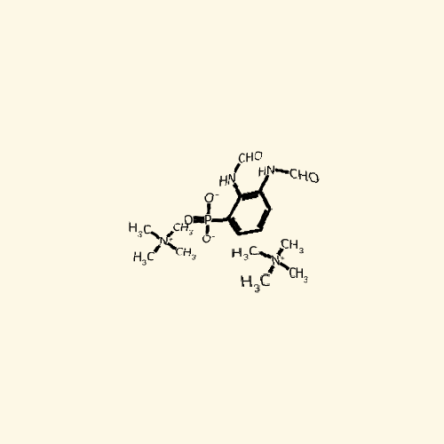 C[N+](C)(C)C.C[N+](C)(C)C.O=CNc1cccc(P(=O)([O-])[O-])c1NC=O